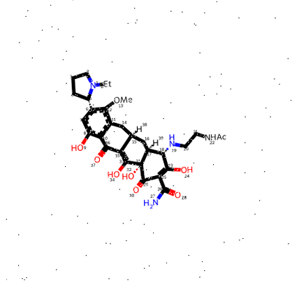 CCN1CCC[C@H]1c1cc(O)c2c(c1OC)C[C@H]1C[C@H]3[C@H](NCCNC(C)=O)C(O)=C(C(N)=O)C(=O)[C@@]3(O)C(O)=C1C2=O